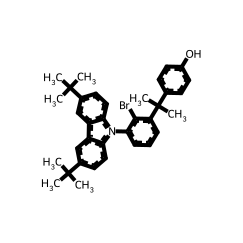 CC(C)(C)c1ccc2c(c1)c1cc(C(C)(C)C)ccc1n2-c1cccc(C(C)(C)c2ccc(O)cc2)c1Br